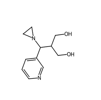 OCC(CO)C(c1cccnc1)N1CC1